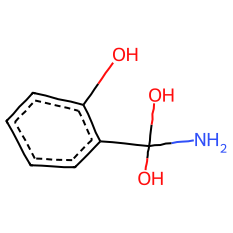 NC(O)(O)c1ccccc1O